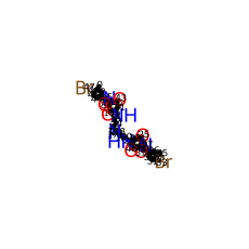 Cc1cc(-c2nc3c(o2)C(=O)C(NCCCN(C)CCCNC2=CC(=O)c4nc(-c5ccc(Br)c(C)c5)oc4C2=O)=CC3=O)ccc1Br